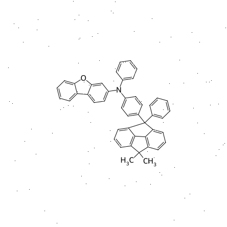 CC1(C)c2cccc3c2-c2c1cccc2C3(c1ccccc1)c1ccc(N(c2ccccc2)c2ccc3c(c2)oc2ccccc23)cc1